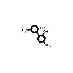 Cl.Nc1cccc(-c2ccc(N)cc2O)c1